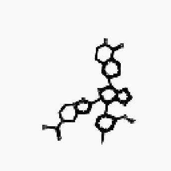 CCC(=O)N1CCn2nc(-c3nc(-c4ccc5c(c4)CCNC5=O)c4ccsc4c3-c3ccc(F)cc3OC(C)C)cc2C1